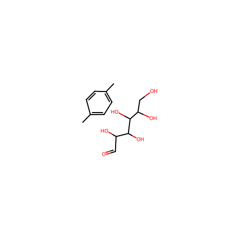 Cc1ccc(C)cc1.O=CC(O)C(O)C(O)C(O)CO